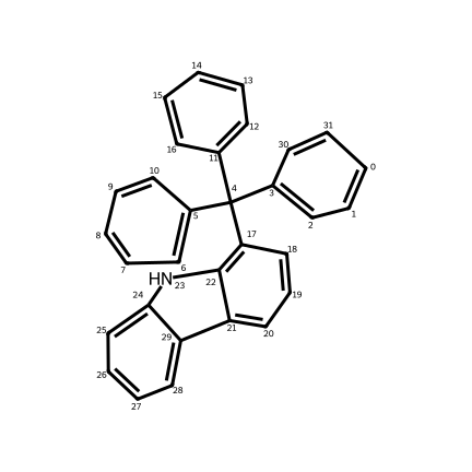 c1ccc(C(c2ccccc2)(c2ccccc2)c2cccc3c2[nH]c2ccccc23)cc1